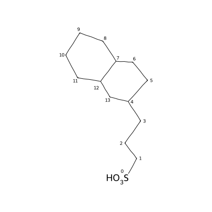 O=S(=O)(O)CCCC1CCC2CCCCC2C1